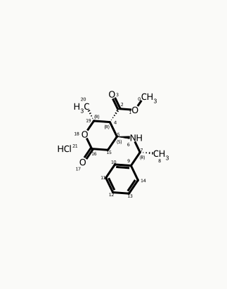 COC(=O)[C@@H]1[C@@H](N[C@H](C)c2ccccc2)CC(=O)O[C@@H]1C.Cl